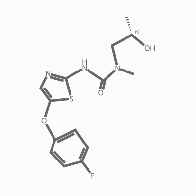 C[C@H](O)CN(C)C(=O)Nc1ncc(Oc2ccc(F)cc2)s1